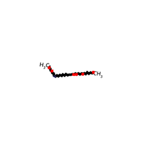 CCCCCCCCC=CCCCCCCCCCCCCCCCC/C=C\CCCCCCCC